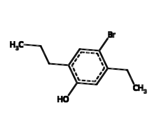 CCCc1cc(Br)c(CC)cc1O